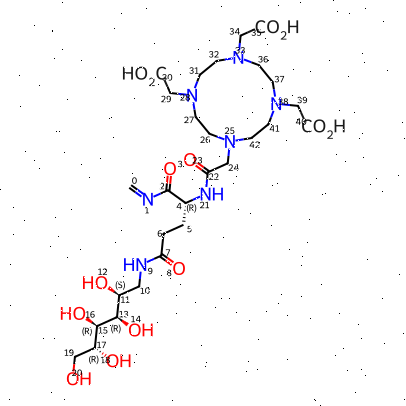 C=NC(=O)[C@@H](CCC(=O)NC[C@H](O)[C@@H](O)[C@H](O)[C@H](O)CO)NC(=O)CN1CCN(CC(=O)O)CCN(CC(=O)O)CCN(CC(=O)O)CC1